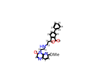 COc1ccc2ncc(=O)n(CCNCCC3OC(=O)c4cc(-c5ccccc5)ccc43)c2n1